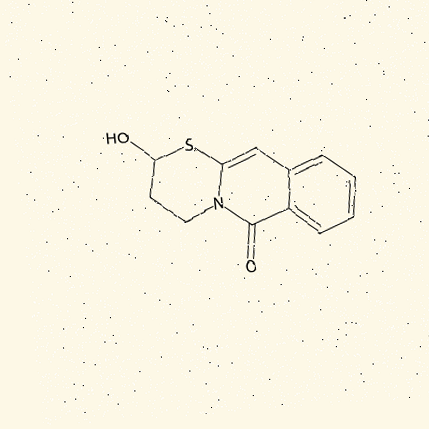 O=c1c2ccccc2cc2n1CCC(O)S2